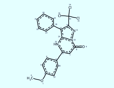 COc1ccc(-c2cc(=O)n3nc(C(Cl)(Cl)Cl)c(-c4ccccc4)c3[nH]2)cc1